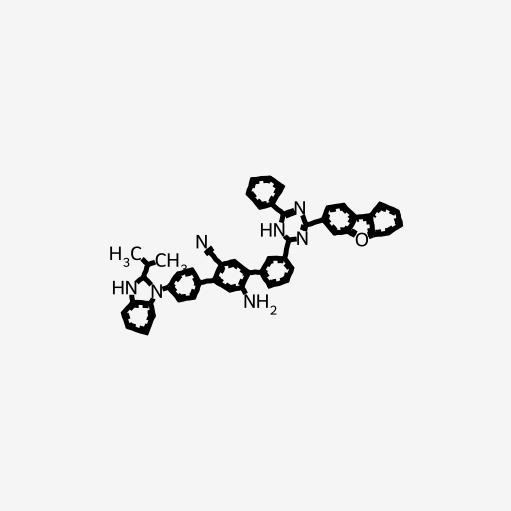 CC(C)C1Nc2ccccc2N1c1ccc(-c2cc(N)c(-c3cccc(C4N=C(c5ccc6c(c5)oc5ccccc56)N=C(c5ccccc5)N4)c3)cc2C#N)cc1